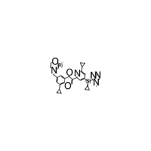 C[C@@H]1CN(Cc2cc(C3CC3)c3occ(-c4cc([C@@H](c5nncn5C)C5CC5)cc(C5CC5)n4)c(=O)c3c2)CCO1